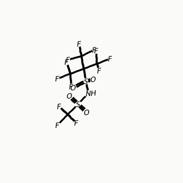 O=S(=O)(NS(=O)(=O)C(C(F)(F)F)(C(F)(F)F)C(F)(F)F)C(F)(F)F